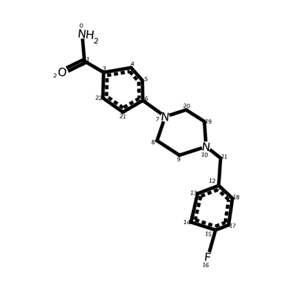 NC(=O)c1ccc(N2CCN(Cc3ccc(F)cc3)CC2)cc1